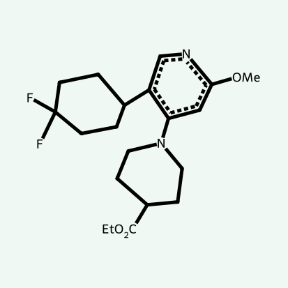 CCOC(=O)C1CCN(c2cc(OC)ncc2C2CCC(F)(F)CC2)CC1